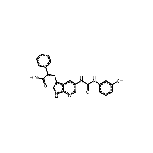 NC(=O)C(=Cc1c[nH]c2ncc(NC(=O)Nc3cccc(O)c3)cc12)c1ccccc1